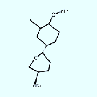 CCCC[C@H]1CC[C@H](C2CCC(OCCC)C(C)C2)CC1